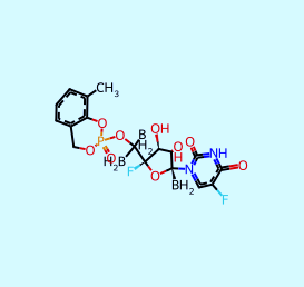 BC(B)(OP1(=O)OCc2cccc(C)c2O1)[C@@]1(F)O[C@@](B)(n2cc(F)c(=O)[nH]c2=O)[C@H](O)[C@@H]1O